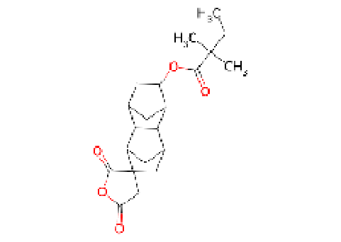 CCC(C)(C)C(=O)OC1CC2CC1C1C3CC(C21)C1(CC(=O)OC1=O)C3